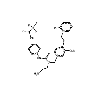 COc1cc(CN(CCN)C(=O)Nc2ccccc2)ccc1OCc1ccccc1F.O=C(O)C(F)(F)F